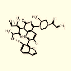 C=CC(=O)N1CCN(c2nc(=O)n(/C(C(=N)C(C)C)=C(\C)C=C)c3nc(-c4c(F)ccc5ccoc45)c(Cl)cc23)[C@@H](C)C1